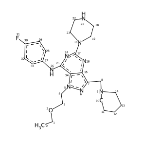 CCOCCn1nc(CN2CCCCC2)c2nc(N3CCNCC3)nc(Nc3ccc(F)cc3)c21